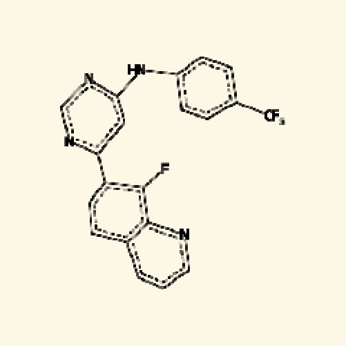 Fc1c(-c2cc(Nc3ccc(C(F)(F)F)cc3)ncn2)ccc2cccnc12